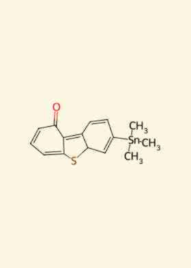 [CH3][Sn]([CH3])([CH3])[C]1=CC2SC3=CC=CC(=O)C3=C2C=C1